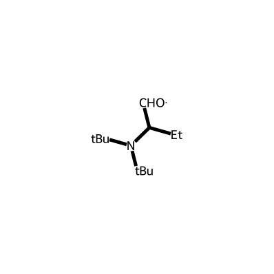 CCC([C]=O)N(C(C)(C)C)C(C)(C)C